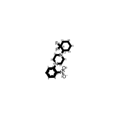 O=[N+]([O-])c1ccccc1N1CCN(C2CCCCC2(F)F)CC1